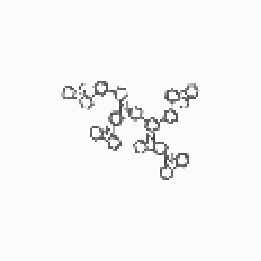 c1cc(-c2cc(-c3ccc4c(c3)c3cc(-n5c6ccccc6c6ccccc65)ccc3n4-c3cccc(-c4cccc(-c5cccc6c5sc5ccccc56)c4)c3)cc(-n3c4ccccc4c4cc(-n5c6ccccc6c6ccccc65)ccc43)c2)cc(-c2cccc3c2oc2ccccc23)c1